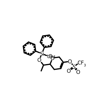 CC(O[Si](c1ccccc1)(c1ccccc1)C(C)(C)C)C1CC=C(OS(=O)(=O)C(F)(F)F)CO1